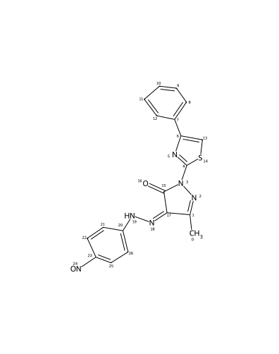 CC1=NN(c2nc(-c3ccccc3)cs2)C(=O)/C1=N\Nc1ccc(N=O)cc1